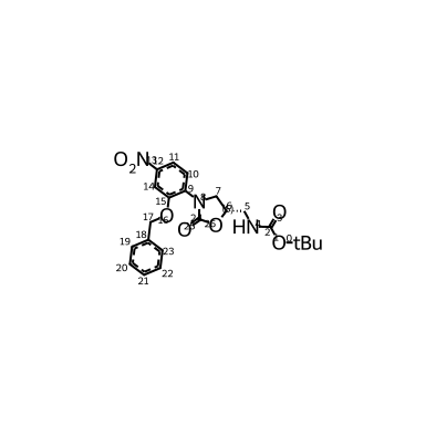 CC(C)(C)OC(=O)NC[C@H]1CN(c2ccc([N+](=O)[O-])cc2OCc2ccccc2)C(=O)O1